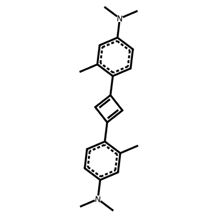 Cc1cc(N(C)C)ccc1C1=CC(c2ccc(N(C)C)cc2C)=C1